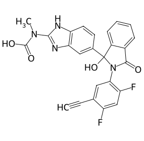 C#Cc1cc(N2C(=O)c3ccccc3C2(O)c2ccc3[nH]c(N(C)C(=O)O)nc3c2)c(F)cc1F